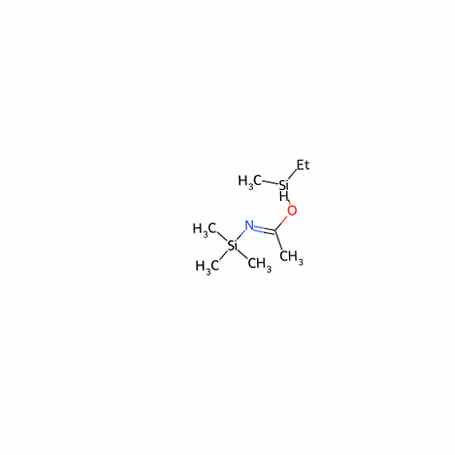 CC[SiH](C)OC(C)=N[Si](C)(C)C